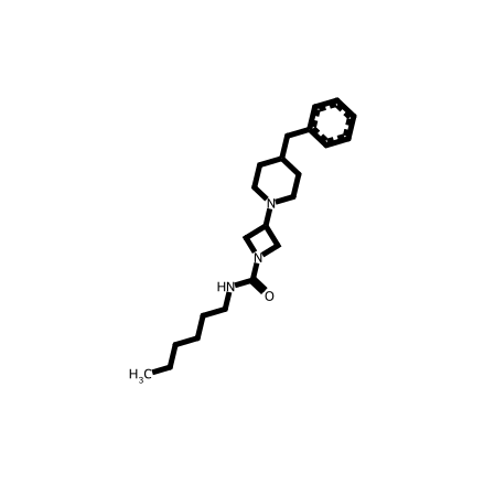 CCCCCCNC(=O)N1CC(N2CCC(Cc3ccccc3)CC2)C1